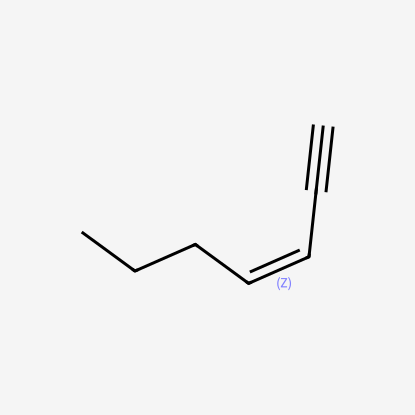 C#C/C=C\CCC